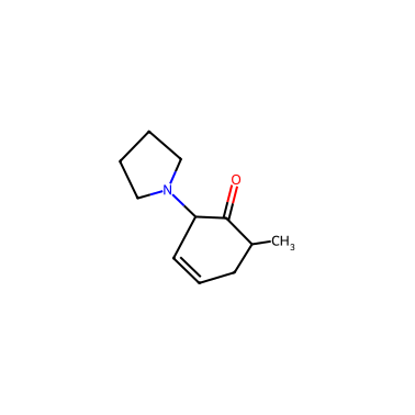 CC1CC=CC(N2CCCC2)C1=O